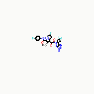 Cc1c(C(=O)C(=O)NC2(c3c[nH]nn3)CC(F)(F)C2)c2n(c1C(=O)Nc1ccc(F)cc1)C[C@H](F)C2